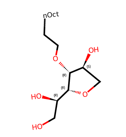 CCCCCCCCCCO[C@H]1[C@@H]([C@H](O)CO)OC[C@@H]1O